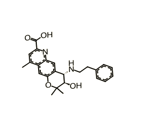 Cc1cc(C(=O)O)nc2cc3c(cc12)OC(C)(C)[C@H](O)[C@H]3NCCc1ccccc1